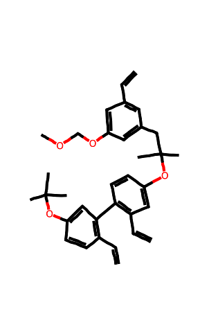 C=Cc1cc(CC(C)(C)Oc2ccc(-c3cc(OC(C)(C)C)ccc3C=C)c(C=C)c2)cc(OCOC)c1